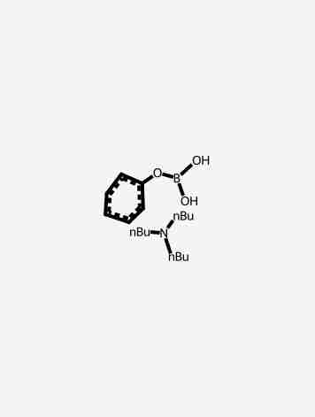 CCCCN(CCCC)CCCC.OB(O)Oc1ccccc1